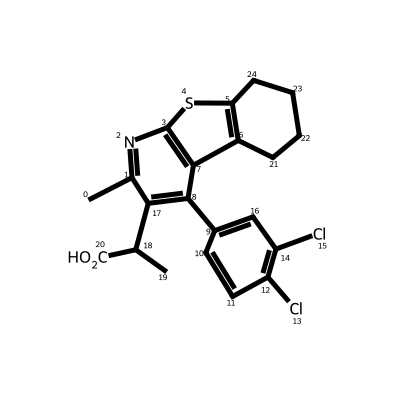 Cc1nc2sc3c(c2c(-c2ccc(Cl)c(Cl)c2)c1C(C)C(=O)O)CCCC3